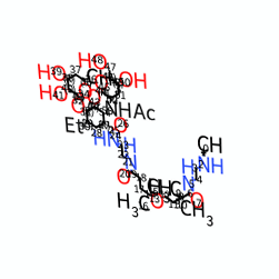 C#CNCCNC(=O)C(C)(C)CCOC(C)(C)CCC(=O)NCCNC(=O)[C@@H]1C[C@H](CC)[C@@H](O[C@@H]2O[C@@H](C)C[C@@H](O)[C@@H]2O)[C@H](O[C@@H]2O[C@H](CO)[C@H](O)C[C@H]2NC(C)=O)C1